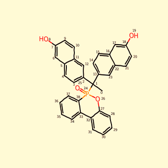 CC(c1ccc2cc(O)ccc2c1)(c1ccc2cc(O)ccc2c1)P1(=O)Oc2ccccc2-c2ccccc21